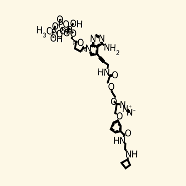 CP(=O)(O)OP(=O)(O)OP(=O)(O)OC[C@@H]1CC[C@H](n2cc(C#CCNC(=O)COCCOC(COc3cccc(C(=O)NCCNC4CCC4)c3)N=[N+]=[N-])c3c(N)ncnc32)O1